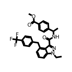 CCn1nc(C(=O)NC(C)c2ccc(C(=O)OC)cc2)c2c(Cc3ccc(C(F)(F)F)cc3)cccc21